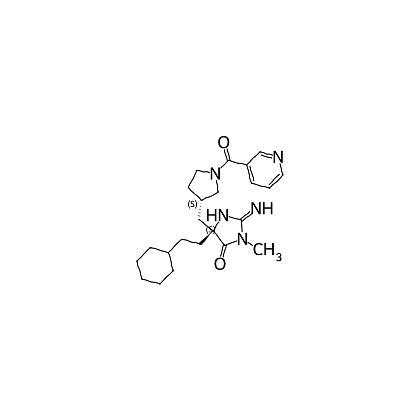 CN1C(=N)N[C@@](CCC2CCCCC2)(C[C@@H]2CCN(C(=O)c3cccnc3)C2)C1=O